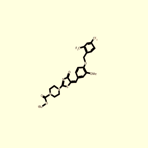 COc1cc(C=C2SC(N3CCN(C(=O)OC(C)(C)C)CC3)=NC2=O)ccc1OCc1ccc(C(F)(F)F)cc1C(F)(F)F